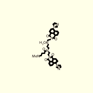 CNCCCC(=O)N(CCCN(C)CCN1C(=O)c2cccc3c(-n4ccnc4)ccc(c23)C1=O)CCN1C(=O)c2cccc3c(-n4ccnc4)ccc(c23)C1=O